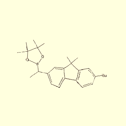 CCC(C)c1ccc2c(c1)C(C)(C)c1cc(C(C)B3OC(C)(C)C(C)(C)O3)ccc1-2